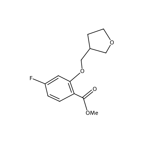 COC(=O)c1ccc(F)cc1OCC1CCOC1